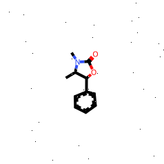 CC1C(c2ccccc2)OC(=O)N1C